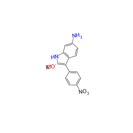 Nc1ccc2c(-c3ccc([N+](=O)[O-])cc3)c[nH]c2c1.[K+].[OH-]